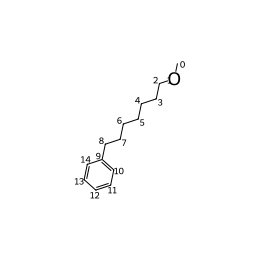 COCCCCCCCc1ccccc1